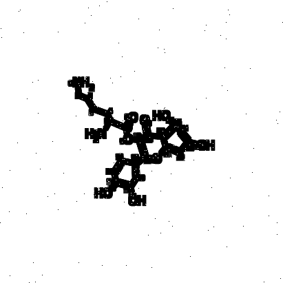 NCCCC[C@H](N)C(=O)Oc1c(-c2ccc(O)c(O)c2)oc2cc(O)cc(O)c2c1=O